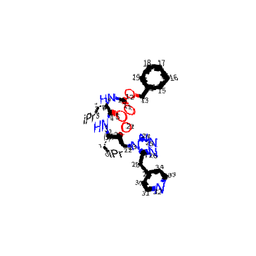 CC(C)C[C@H](NC(=O)[C@H](CC(C)C)NC(=O)OCc1ccccc1)C(=O)Cn1nnnc1Cc1ccncc1